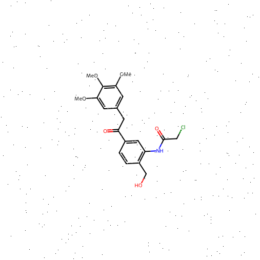 COc1cc(CC(=O)c2ccc(CO)c(NC(=O)CCl)c2)cc(OC)c1OC